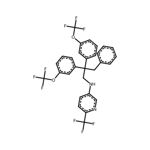 FC(F)(F)Oc1cccc(C(CNc2ccc(C(F)(F)F)nc2)(Cc2ccccc2)c2cccc(OC(F)(F)F)c2)c1